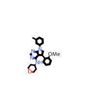 COc1ccccc1-c1cn(-c2cccc(C)c2)c2ncnc(NC3CCOCC3)c12